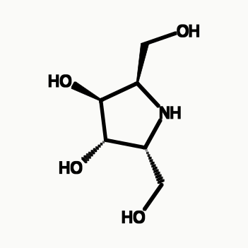 OC[C@H]1N[C@H](CO)[C@H](O)[C@H]1O